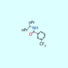 CCCC(CCC)NC(=O)c1cccc(C(F)(F)F)c1